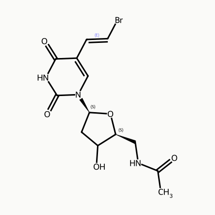 CC(=O)NC[C@@H]1O[C@H](n2cc(/C=C/Br)c(=O)[nH]c2=O)CC1O